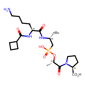 CCCC[C@H](CP(=O)(O)O[C@@H](C)C(=O)N1CCC[C@H]1C(=O)O)NC(=O)[C@H](CCCCN)NC(=O)C1CCC1